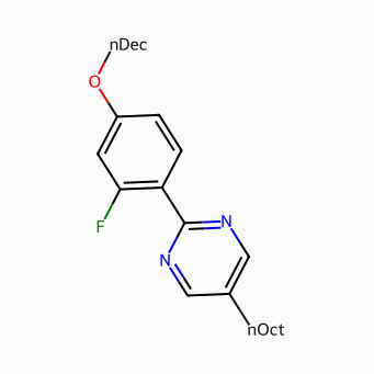 CCCCCCCCCCOc1ccc(-c2ncc(CCCCCCCC)cn2)c(F)c1